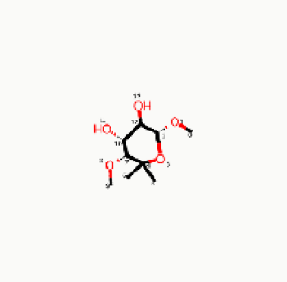 CO[C@@H]1OC(C)(C)[C@H](OC)[C@H](O)C1O